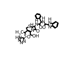 CC(Sc1nnn[nH]1)C1=C(C(=O)O)N2C(=O)C(NC(=O)C(NC(=O)c3nc4ccccc4[nH]3)c3ccccc3)[C@@H]2SC1